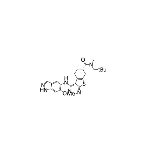 COc1cc2[nH]ncc2cc1Nc1ncnc2sc3c(c12)CC[C@H](C(=O)N(C)CC(C)(C)C)C3